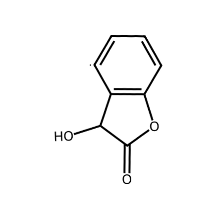 O=C1Oc2ccc[c]c2C1O